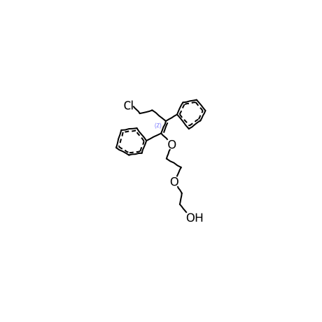 OCCOCCO/C(=C(/CCCl)c1ccccc1)c1ccccc1